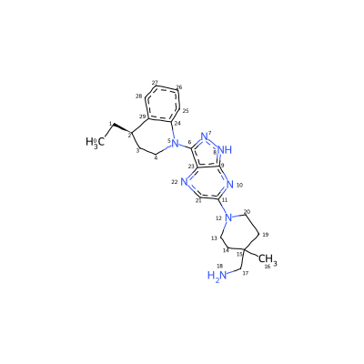 CC[C@@H]1CCN(c2n[nH]c3nc(N4CCC(C)(CN)CC4)cnc23)c2ccccc21